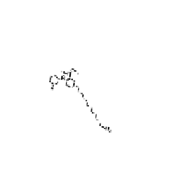 Cn1c(=O)n(C2CCCNC2)c2ccc(CCCCCCCCCCCCN)cc21